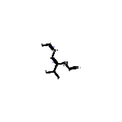 C/C=N\C=C(/NC=O)C(C)C